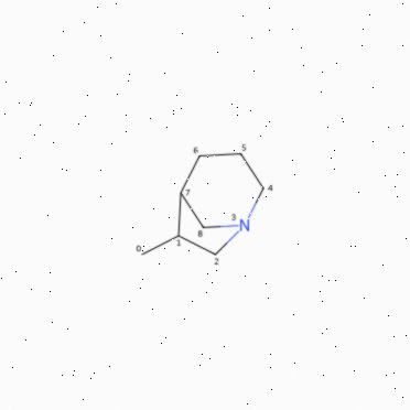 CC1CN2CCCC1C2